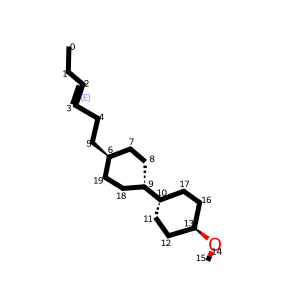 CC/C=C/CC[C@H]1CC[C@H]([C@H]2CC[C@H](OC)CC2)CC1